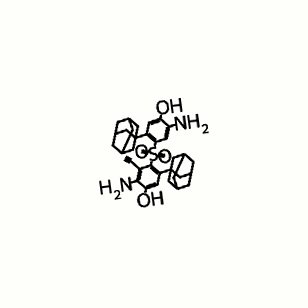 C#Cc1c(N)c(O)cc(C23CC4CC(CC(C4)C2)C3)c1S(=O)(=O)c1cc(N)c(O)cc1C12CC3CC(CC(C3)C1)C2